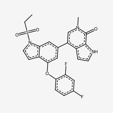 CCS(=O)(=O)n1ccc2c(Oc3ccc(F)cc3F)cc(-c3cn(C)c(=O)c4[nH]ccc34)cc21